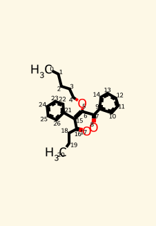 CCCCCOC(C(=O)c1ccccc1)=C(C(=O)CCC)c1ccccc1